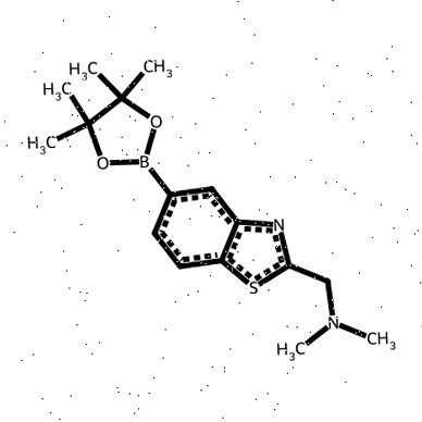 CN(C)Cc1nc2cc(B3OC(C)(C)C(C)(C)O3)ccc2s1